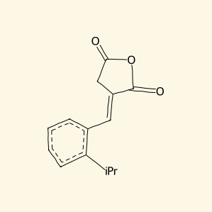 CC(C)c1ccccc1C=C1CC(=O)OC1=O